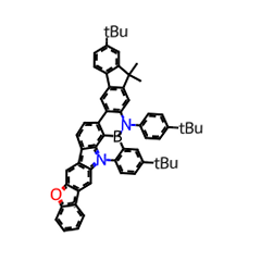 CC(C)(C)c1ccc(N2B3c4cc(C(C)(C)C)ccc4-n4c5cc6c(cc5c5ccc(c3c54)-c3cc4c(cc32)C(C)(C)c2cc(C(C)(C)C)ccc2-4)oc2ccccc26)cc1